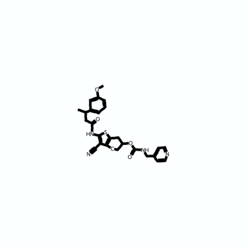 COc1cccc(C(C)CC(=O)Nc2sc3c(c2C#N)CCC(OC(=O)NCc2ccncc2)C3)c1